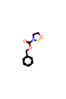 O=C(OCc1ccccc1)N1CCOS1